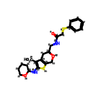 O=C(CSc1ccccc1)NCC1Cc2c(sc(NC3CCCCO3)c2C(=O)O)CO1